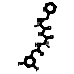 C[C@H](NCc1ccccn1)C(=O)NC(=O)[C@H](C)NC(=O)Cc1cc(F)cc(F)c1